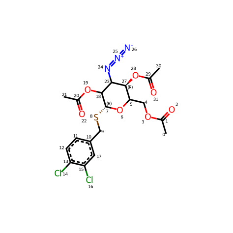 CC(=O)OCC1O[C@H](SCc2ccc(Cl)c(Cl)c2)C(OC(C)=O)C(N=[N+]=[N-])[C@H]1OC(C)=O